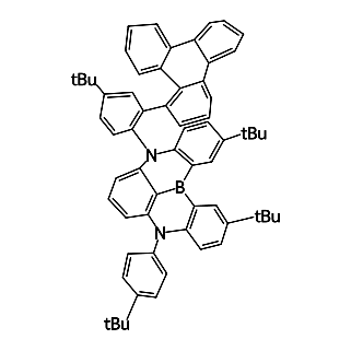 CC(C)(C)c1ccc(N2c3ccc(C(C)(C)C)cc3B3c4cc(C(C)(C)C)ccc4N(c4ccc(C(C)(C)C)cc4-c4cccc5c6ccccc6c6ccccc6c45)c4cccc2c43)cc1